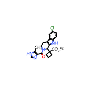 CCOC(=O)C1(C2c3[nH]c4ccc(Cl)cc4c3CCN2C(=O)c2nc[nH]c2C)CCC1